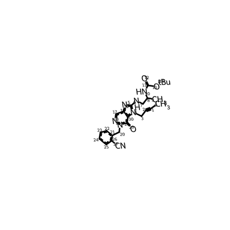 CC#CCn1c(NCC(C)NC(=O)OC(C)(C)C)nc2cnn(Cc3ccccc3C#N)c(=O)c21